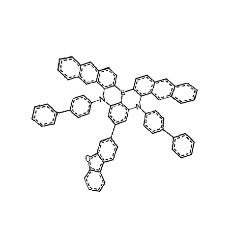 c1ccc(-c2ccc(N3c4cc(-c5ccc6c(c5)oc5ccccc56)cc5c4B(c4ccc6cc7ccccc7cc6c43)c3ccc4cc6ccccc6cc4c3N5c3ccc(-c4ccccc4)cc3)cc2)cc1